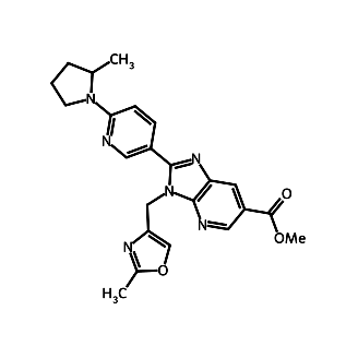 COC(=O)c1cnc2c(c1)nc(-c1ccc(N3CCCC3C)nc1)n2Cc1coc(C)n1